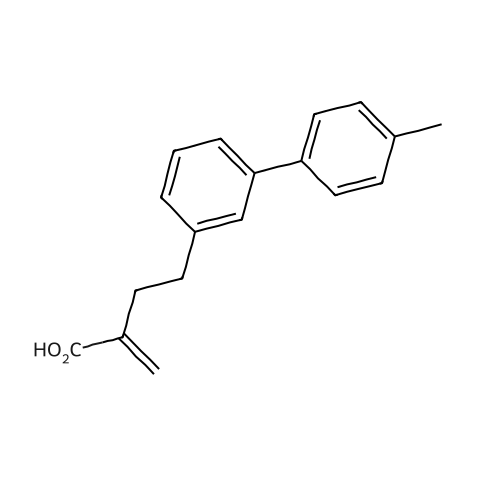 C=C(CCc1cccc(-c2ccc(C)cc2)c1)C(=O)O